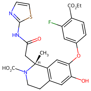 CCOC(=O)c1ccc(Oc2cc3c(cc2O)CCN(C(=O)O)[C@]3(C)CC(=O)Nc2nccs2)cc1F